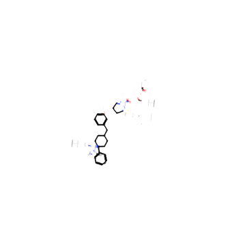 CC(OC(=O)C(C)C)OC(=O)N1C[C@@H](Oc2cccc(CC3CCC(c4ccccc4)(N(C)C)CC3)c2)C[C@H]1C(=O)O